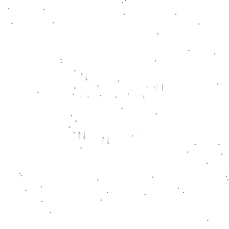 CCc1nc(-c2nnn(C)c2COC(=O)N(C)CC)ccc1O[C@H]1CCC[C@H](C(=O)O)C1